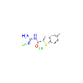 Cc1ccc2sc(C(=O)NC(N)=NCl)cc2c1.Cl